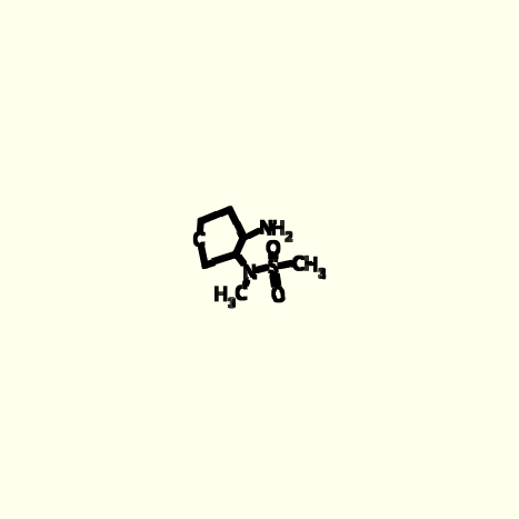 CN(C1CCCCC1N)S(C)(=O)=O